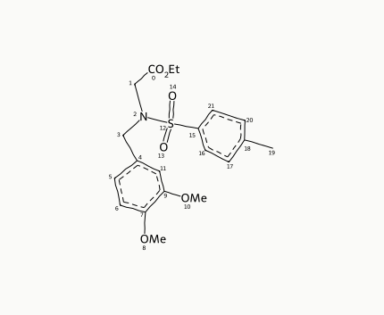 CCOC(=O)CN(Cc1ccc(OC)c(OC)c1)S(=O)(=O)c1ccc(C)cc1